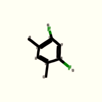 Cc1cc(C)c(F)cc1F